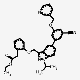 CCOC(=O)Cc1ccccc1OCc1nn(C(C)C)c2ccc(-c3cc(C#N)cc(OCc4cccnc4)c3)cc12